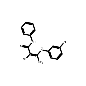 N#CC(C(=O)Nc1ccccc1)=C(N)Nc1cccc(Cl)c1